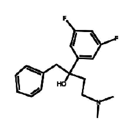 CN(C)CCC(O)(Cc1ccccc1)c1cc(F)cc(F)c1